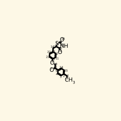 CCc1ccc(C(=O)COc2ccc(CC3SC(=O)NC3=O)cc2)cc1